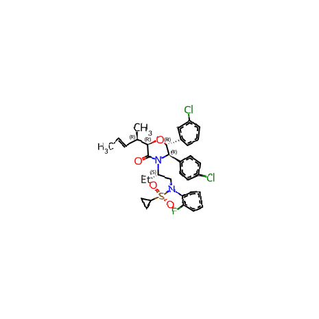 CC=C[C@@H](C)[C@H]1O[C@H](c2cccc(Cl)c2)[C@@H](c2ccc(Cl)cc2)N([C@@H](CC)CN(c2ccccc2F)S(=O)(=O)C2CC2)C1=O